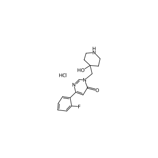 Cl.O=c1cc(-c2ccccc2F)ncn1CC1(O)CCNCC1